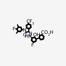 Cc1cc(N2C(=O)/C(=N\Nc3cc(F)cc(-c4cccc(C(=O)O)c4)c3O)c3ccc(C(F)(F)F)cc32)cc(C)c1F